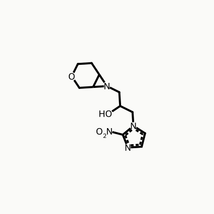 O=[N+]([O-])c1nccn1CC(O)CN1C2CCOCC21